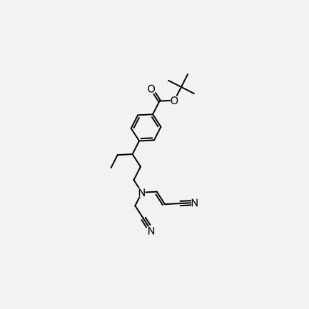 CCC(CCN(C=CC#N)CC#N)c1ccc(C(=O)OC(C)(C)C)cc1